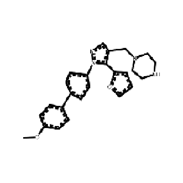 COc1ccc(-c2ccc(-n3ncc(CN4CCNCC4)c3-c3ccco3)cc2)cc1